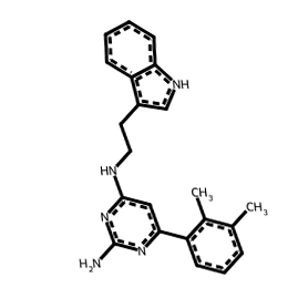 Cc1cccc(-c2cc(NCCc3c[nH]c4ccccc34)nc(N)n2)c1C